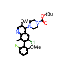 COc1cccc(F)c1-c1c(Cl)cc2c(N3CCN(C(=O)OC(C)(C)C)CC3)c(OC)cnc2c1C